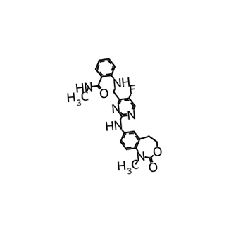 CNC(=O)c1ccccc1NCc1nc(Nc2ccc3c(c2)CCOC(=O)N3C)ncc1F